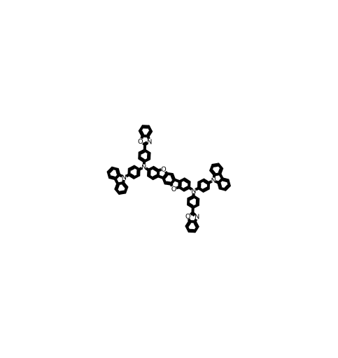 c1ccc2oc(-c3ccc(N(c4ccc(-n5c6ccccc6c6ccccc65)cc4)c4ccc5c(c4)oc4cc6c(cc45)oc4cc(N(c5ccc(-c7nc8ccccc8o7)cc5)c5ccc(-n7c8ccccc8c8ccccc87)cc5)ccc46)cc3)nc2c1